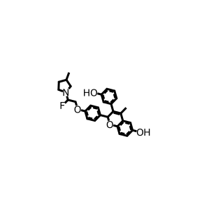 CC1=C(c2cccc(O)c2)C(c2ccc(OCC(F)N3CCC(C)C3)cc2)Oc2ccc(O)cc21